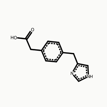 O=C(O)Cc1ccc(Cc2c[nH]cn2)cc1